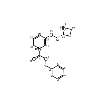 O=C(OCc1ccccc1)N1C=C(OC[C@H]2CCN2)C=CC1